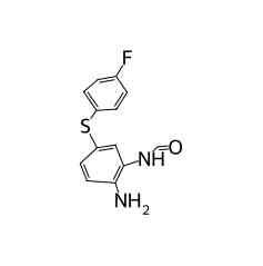 Nc1ccc(Sc2ccc(F)cc2)cc1NC=O